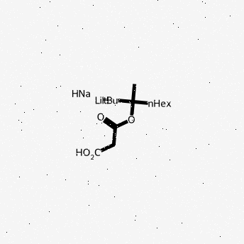 CCCCCCC(C)(OC(=O)CC(=O)O)C(C)(C)C.[LiH].[NaH]